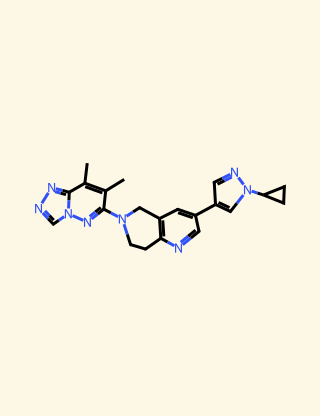 Cc1c(N2CCc3ncc(-c4cnn(C5CC5)c4)cc3C2)nn2cnnc2c1C